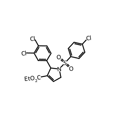 CCOC(=O)C1=CCN(S(=O)(=O)c2ccc(Cl)cc2)C1c1ccc(Cl)c(Cl)c1